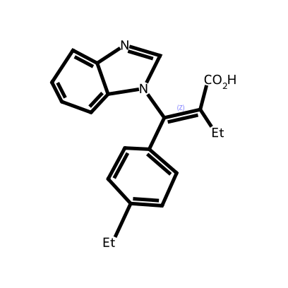 CC/C(C(=O)O)=C(\c1ccc(CC)cc1)n1cnc2ccccc21